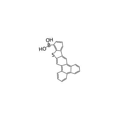 OB(O)c1cccc2c1sc1cc3c4ccccc4c4ccccc4c3cc12